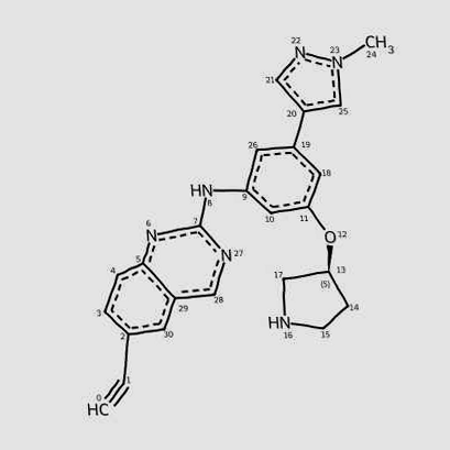 C#Cc1ccc2nc(Nc3cc(O[C@H]4CCNC4)cc(-c4cnn(C)c4)c3)ncc2c1